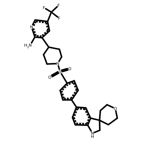 Nc1ncc(C(F)(F)F)cc1C1CCN(S(=O)(=O)c2ccc(-c3ccc4c(c3)C3(CCOCC3)CN4)cc2)CC1